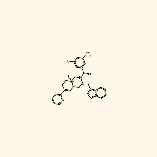 O=C(c1cc(C(F)(F)F)cc(C(F)(F)F)c1)N1C[C@H]2CCC(c3cnccn3)=CN2C[C@H]1Cc1c[nH]c2ccccc12